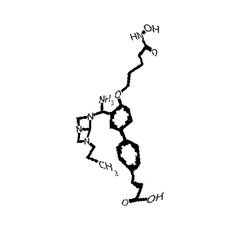 CCCN1CN2CN(C(N)c3cc(-c4ccc(/C=C/C(=O)O)cc4)ccc3OCCCCC(=O)NO)C12